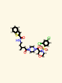 CC(CCNC(=O)c1cc2ccccc2s1)CC(=O)N1CCN(C(=O)C2COCCN2S(=O)(=O)c2ccc(Cl)cc2Cl)CC1